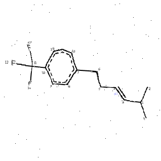 CC(C)/C=C/CCc1ccc(C(F)(F)F)cc1